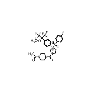 COC(c1ccc([C@]2(S(=O)(=O)c3ccc(F)cc3)CCN(C(=O)N3CCN(C(C)=O)CC3)C2)cc1)(C(F)(F)F)C(F)(F)F